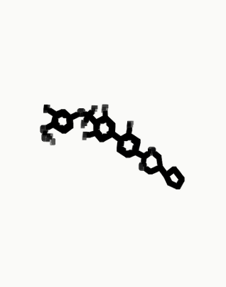 Fc1cc(OC(F)(F)c2c(F)cc(-c3ccc(C4OCC(C5CCCC5)CO4)cc3F)cc2F)ccc1OC(F)(F)F